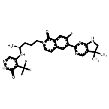 C[C@@H](CCCn1ccc2cc(-c3ncc4c(n3)NCC4(C)C)c(F)cc2c1=O)Nc1cn[nH]c(=O)c1C(F)(F)F